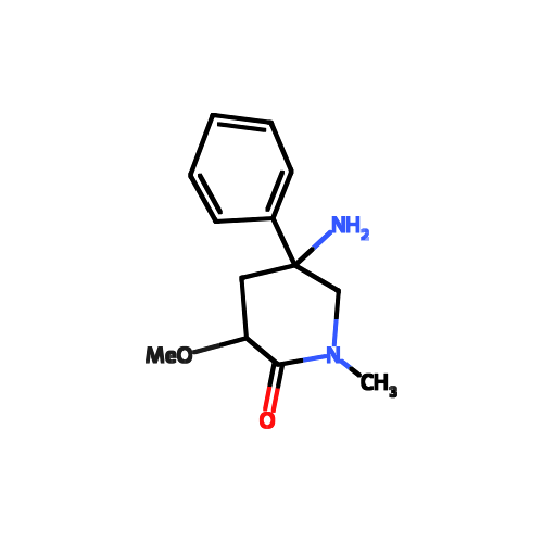 COC1CC(N)(c2ccccc2)CN(C)C1=O